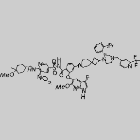 COc1nc2[nH]cc(F)c2cc1Oc1cc(N2CCC3(CC2)CC(N2CCN(Cc4ccnc(C(C)(F)F)c4)C[C@H]2c2ccccc2C(C)C)C3)ccc1C(=O)NS(=O)(=O)c1cnc(NCC2CCC(C)(OC)CC2)c([N+](=O)[O-])c1